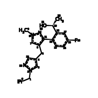 CC(C)Cn1cc(Cc2cn(C)nc2-c2ccc(F)cc2[C@@H](C)O)cn1